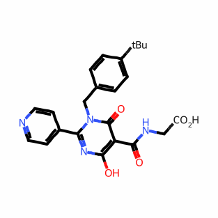 CC(C)(C)c1ccc(Cn2c(-c3ccncc3)nc(O)c(C(=O)NCC(=O)O)c2=O)cc1